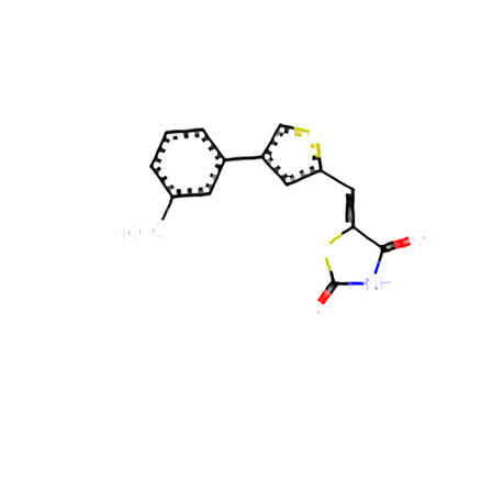 O=C1NC(=O)C(=Cc2cc(-c3cccc(C(=O)O)c3)cs2)S1